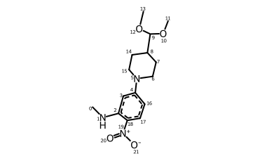 CNc1cc(N2CCC(C(OC)OC)CC2)ccc1[N+](=O)[O-]